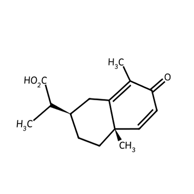 CC1=C2C[C@H](C(C)C(=O)O)CC[C@@]2(C)C=CC1=O